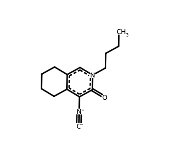 [C-]#[N+]c1c2c(cn(CCCC)c1=O)CCCC2